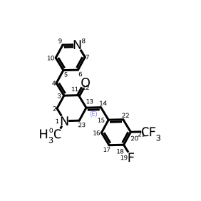 CN1CC(=Cc2ccncc2)C(=O)/C(=C/c2ccc(F)c(C(F)(F)F)c2)C1